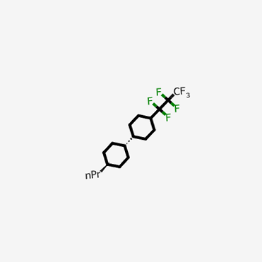 CCC[C@H]1CC[C@H](C2CCC(C(F)(F)C(F)(F)C(F)(F)F)CC2)CC1